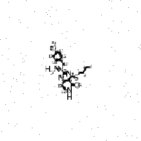 CCCCSc1nc(N(N)Cc2ccc(OC)cc2)nc2cc[nH]c(=O)c12